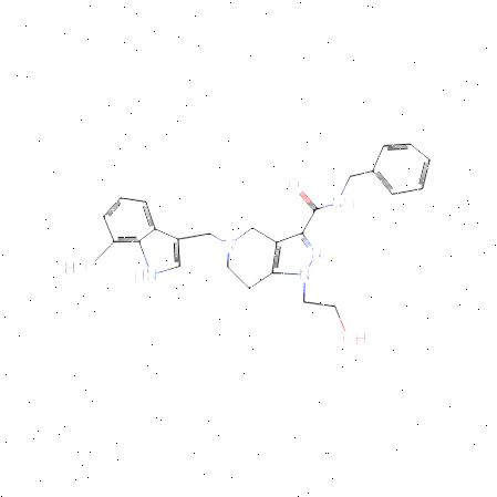 Cc1cccc2c(CN3CCc4c(c(C(=O)NCc5ccccc5)nn4CCO)C3)c[nH]c12